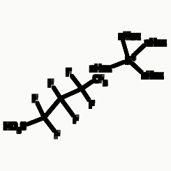 CCCCCC[N+](CCCCCC)(CCCCCC)CCCCCC.O=S(=O)(O)C(F)(F)C(F)(F)C(F)(F)C(F)(F)F